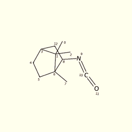 CC1(C)C2CCC1(C)C(N=C=O)C2